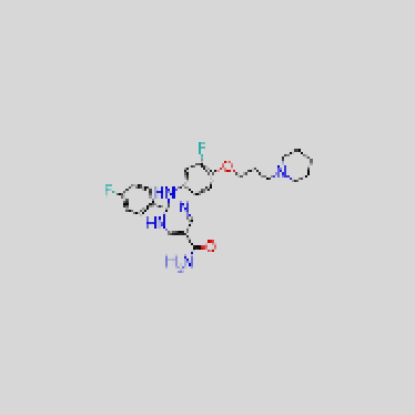 NC(=O)C1=CNC(Nc2ccc(OCCCN3CCCCC3)c(F)c2)(c2ccc(F)cc2)N=C1